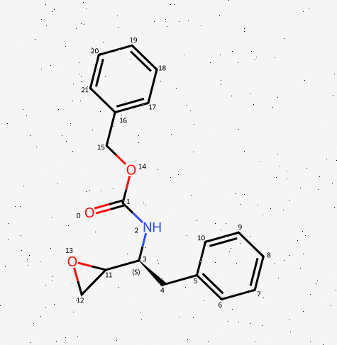 O=C(N[C@@H](Cc1ccccc1)C1CO1)OCc1ccccc1